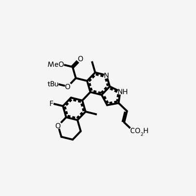 COC(=O)C(OC(C)(C)C)c1c(C)nc2[nH]c(C=CC(=O)O)cc2c1-c1cc(F)c2c(c1C)CCCO2